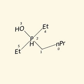 CCCC[PH](O)(CC)CC